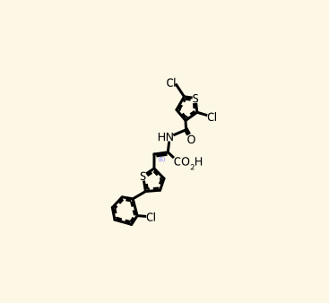 O=C(O)/C(=C\c1ccc(-c2ccccc2Cl)s1)NC(=O)c1cc(Cl)sc1Cl